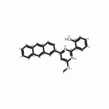 COc1cc(-c2ccc3cc4ccccc4cc3c2)nc(-c2ccccc2O)n1